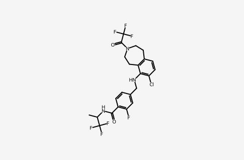 CC(NC(=O)c1ccc(CNc2c(Cl)ccc3c2CCN(C(=O)C(F)(F)F)CC3)cc1F)C(F)(F)F